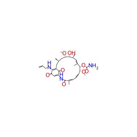 C=CCNC1=C2C[C@@H](C)C[C@H](OC)[C@H](O)[C@@H](C)/C=C(\C)[C@H](OC(N)=O)[C@H](OC)C=CC=C(C)C(=O)NC(=CC1=O)C2=O